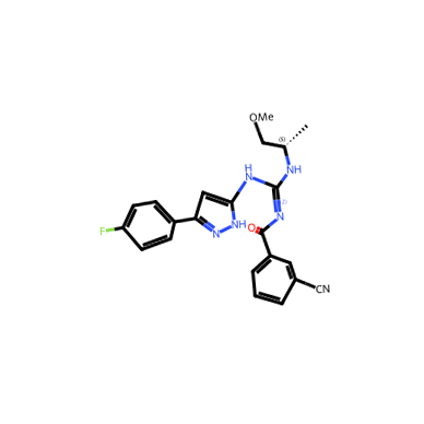 COC[C@H](C)N/C(=N/C(=O)c1cccc(C#N)c1)Nc1cc(-c2ccc(F)cc2)n[nH]1